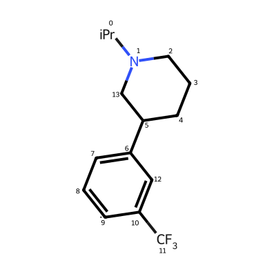 CC(C)N1CCCC(c2cc[c]c(C(F)(F)F)c2)C1